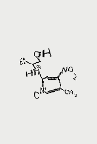 CC[C@@H](CO)Nc1cc([N+](=O)[O-])c(C)c[n+]1[O-]